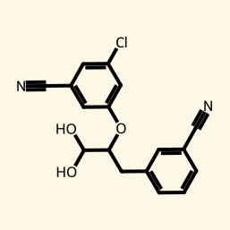 N#Cc1cccc(CC(Oc2cc(Cl)cc(C#N)c2)C(O)O)c1